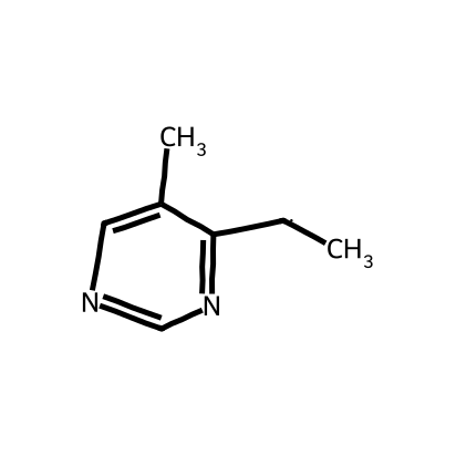 C[CH]c1ncncc1C